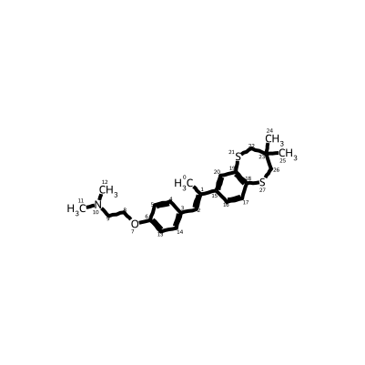 CC(=Cc1ccc(OCCN(C)C)cc1)c1ccc2c(c1)SCC(C)(C)CS2